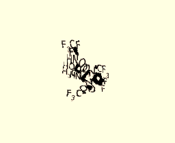 CC(O)(C(=O)NCC(F)(F)C(F)(F)F)C(=O)N[C@H]1CN(C(=O)OCC(F)(F)F)c2cc(F)c(F)cc2N(CC(F)(F)F)C1=O